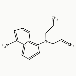 C=CCN(CC=C)c1cccc2c(N)cccc12